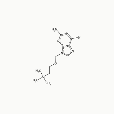 C[Si](C)(C)CCOCn1cnc2c(Br)nc(N)nc21